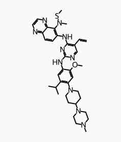 C=Cc1cnc(Nc2cc(C(C)C)c(N3CCC(N4CCN(C)CC4)CC3)cc2OC)nc1Nc1ccc2nccnc2c1N(C)SC